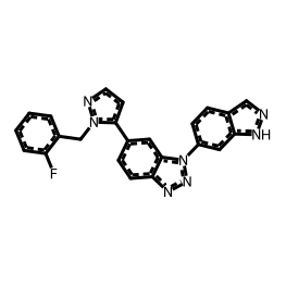 Fc1ccccc1Cn1nccc1-c1ccc2nnn(-c3ccc4cn[nH]c4c3)c2c1